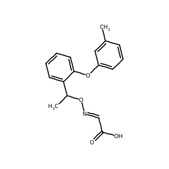 Cc1cccc(Oc2ccccc2C(C)ON=CC(=O)O)c1